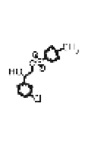 Cc1ccc(S(=O)(=O)OC[C@@H](O)c2cccc(Cl)c2)cc1